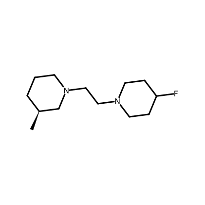 C[C@H]1CCCN(CCN2CCC(F)CC2)C1